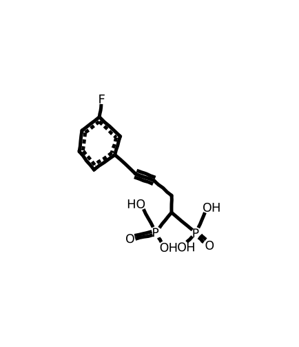 O=P(O)(O)C(CC#Cc1cccc(F)c1)P(=O)(O)O